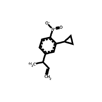 [CH2]C(C=C)c1ccc([N+](=O)[O-])c(C2CC2)c1